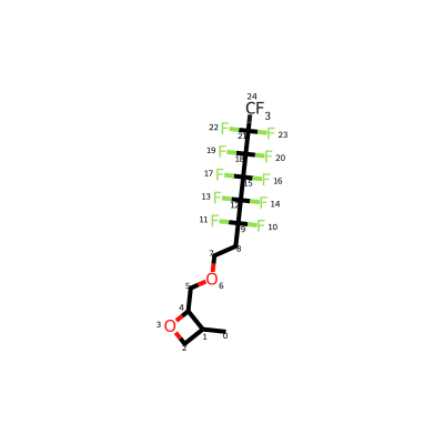 CC1COC1COCCC(F)(F)C(F)(F)C(F)(F)C(F)(F)C(F)(F)C(F)(F)F